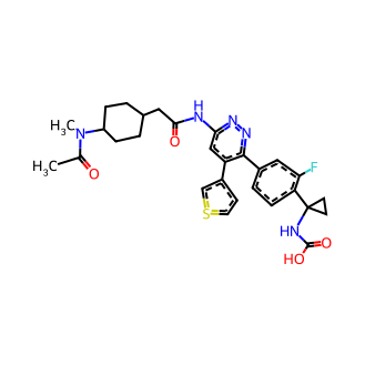 CC(=O)N(C)C1CCC(CC(=O)Nc2cc(-c3ccsc3)c(-c3ccc(C4(NC(=O)O)CC4)c(F)c3)nn2)CC1